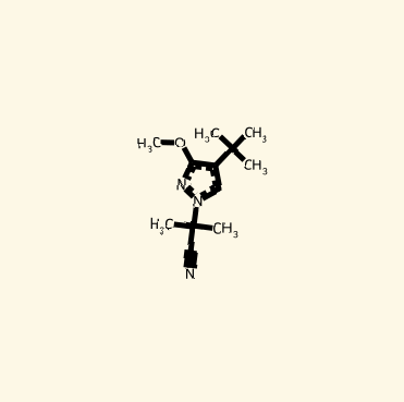 COc1nn(C(C)(C)C#N)cc1C(C)(C)C